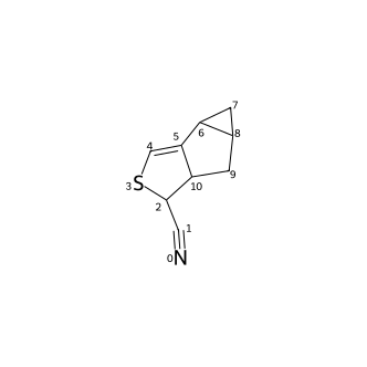 N#CC1SC=C2C3CC3CC21